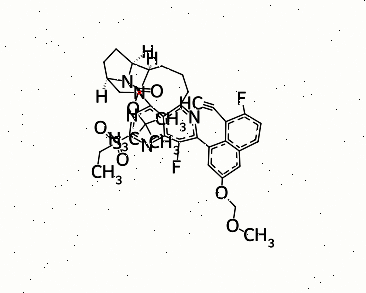 C#Cc1c(F)ccc2cc(OCOC)cc(-c3nc4c5c(nc(S(=O)(=O)CC)nc5c3F)N3C[C@H]5CC[C@@H]([C@H]3CCC4)N5C(=O)OC(C)(C)C)c12